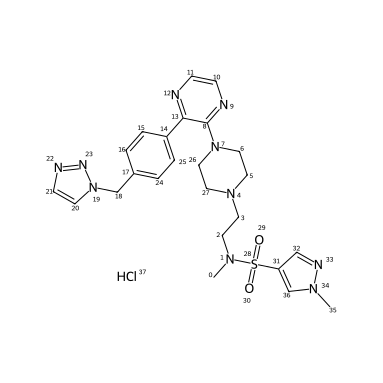 CN(CCN1CCN(c2nccnc2-c2ccc(Cn3ccnn3)cc2)CC1)S(=O)(=O)c1cnn(C)c1.Cl